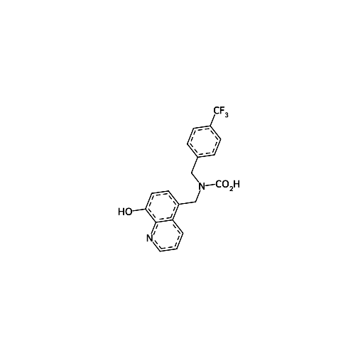 O=C(O)N(Cc1ccc(C(F)(F)F)cc1)Cc1ccc(O)c2ncccc12